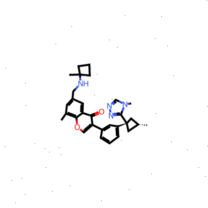 Cc1cc(CNC2(C)CCC2)cc2c(=O)c(-c3cccc([C@]4(c5nncn5C)C[C@@H](C)C4)c3)coc12